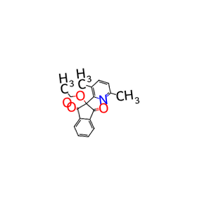 CC(=O)OC1(c2nc(C)ccc2C)C(=O)c2ccccc2C1=O